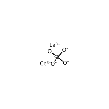 [Ce+3].[La+3].[O-][Si]([O-])([O-])[O-]